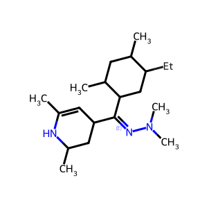 CCC1CC(/C(=N\N(C)C)C2C=C(C)NC(C)C2)C(C)CC1C